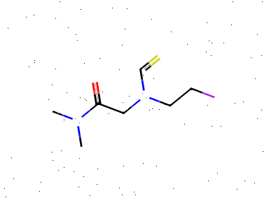 CN(C)C(=O)CN(C=S)CCI